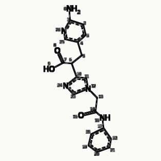 Nc1ccc(CC(C(=O)O)c2cn(CC(=O)Nc3ccccc3)cn2)cn1